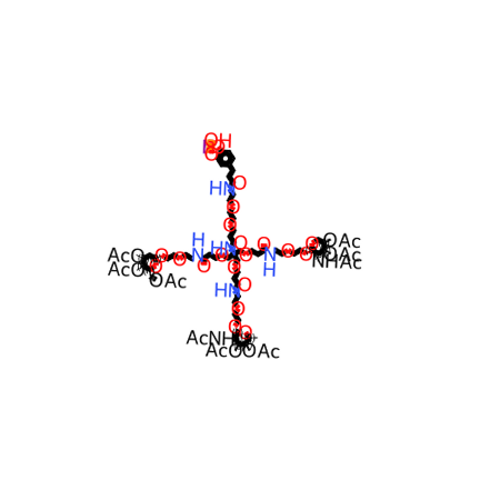 CC(=O)N[C@@H]1[C@H](OCCOCCNC(=O)CCOCC(COCCC(=O)NCCOCCO[C@H]2C[C@@H](OC(C)=O)[C@@H](OC(C)=O)[C@@H](COC(C)=O)O2)(COCCC(=O)NCCOCCO[C@H]2OC[C@@H](OC(C)=O)[C@@H](OC(C)=O)[C@@H]2NC(C)=O)NC(=O)CCOCCOCCNC(=O)CCc2ccc(OP(=O)(O)I)cc2)O[C@H](C)[C@@H](OC(C)=O)[C@H]1OC(C)=O